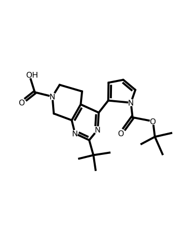 CC(C)(C)OC(=O)n1cccc1-c1nc(C(C)(C)C)nc2c1CCN(C(=O)O)C2